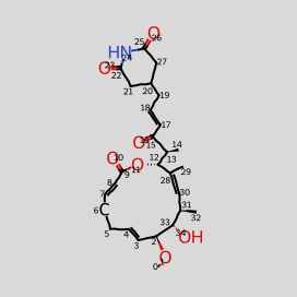 CO[C@H]1/C=C/CC/C=C/C(=O)O[C@H]([C@H](C)C(=O)/C=C/CC2CC(=O)NC(=O)C2)/C(C)=C\[C@@H](C)[C@@H]1O